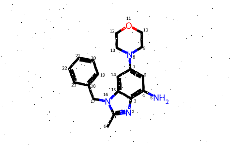 Cc1nc2c(N)cc(N3CCOCC3)cc2n1Cc1ccccc1